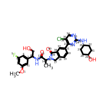 COc1cc(F)cc(C(CO)NC(=O)C(C)N2Cc3ccc(-c4nc(N[C@H]5CC[C@H](O)CC5)ncc4Cl)cc3C2=O)c1